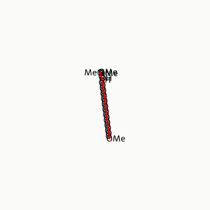 COCCOCCOCCOCCOCCOCCOCCOCCOCCOCCOCCOCCOCCOCCOCCOCCOCCOCCOCCOCCOCCOCCNCC(O)COCCC[Si](OC)(OC)OC